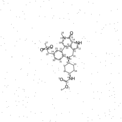 COC(=O)N[C@H]1CC[C@@H](N2Cc3c[nH]c4c(=O)n(C)cc(c34)-c3cc(CS(C)(=O)=O)ccc32)CC1